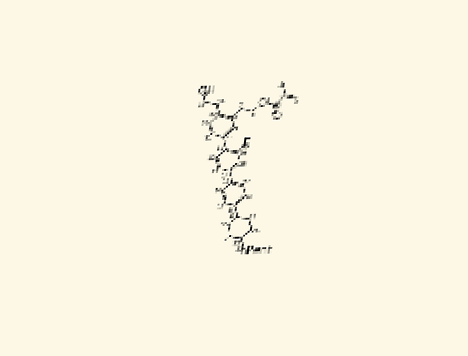 C=C(C)C(=O)OCCc1cc(-c2ccc(-c3ccc(C4CCC(CCCCC)CC4)cc3)cc2F)ccc1CCO